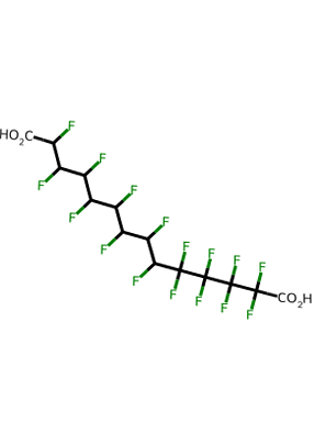 O=C(O)C(F)C(F)C(F)C(F)C(F)C(F)C(F)C(F)C(F)(F)C(F)(F)C(F)(F)C(F)(F)C(=O)O